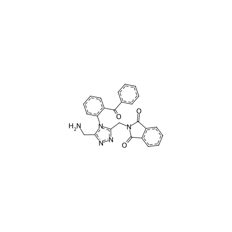 NCc1nnc(CN2C(=O)c3ccccc3C2=O)n1-c1ccccc1C(=O)c1ccccc1